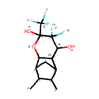 CC1C(C)C2CC1C1OC(O)(C(F)(F)F)C(F)(F)C(O)C21